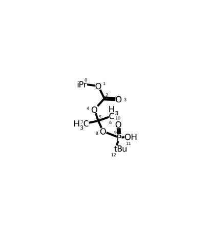 CC(C)OC(=O)OC(C)(C)OP(=O)(O)C(C)(C)C